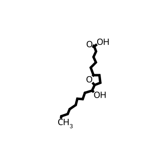 CCCCCCCCC(O)C1CCC(CCCCC(=O)O)O1